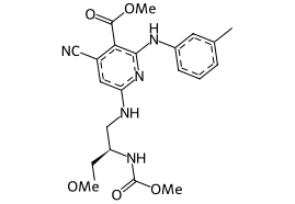 COC[C@@H](CNc1cc(C#N)c(C(=O)OC)c(Nc2cccc(C)c2)n1)NC(=O)OC